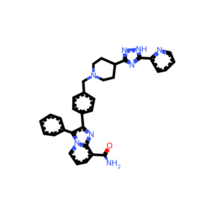 NC(=O)c1cccn2c(-c3ccccc3)c(-c3ccc(CN4CCC(c5n[nH]c(-c6ccccn6)n5)CC4)cc3)nc12